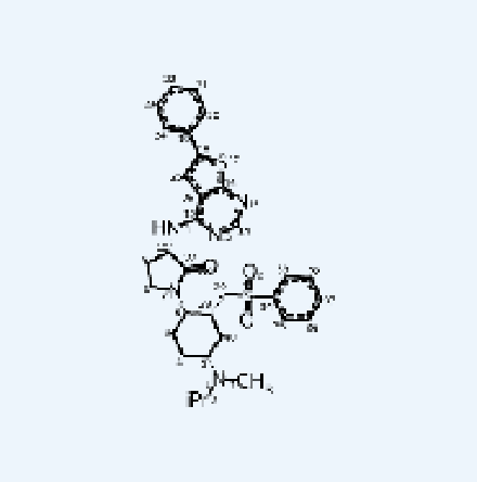 CC(C)N(C)[C@@H]1CC[C@H](N2CC[C@H](Nc3ncnc4sc(-c5ccccc5)cc34)C2=O)[C@H](CS(=O)(=O)c2ccccc2)C1